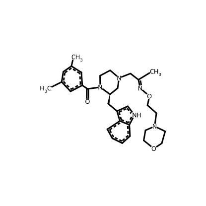 CC(CN1CCN(C(=O)c2cc(C)cc(C)c2)[C@H](Cc2c[nH]c3ccccc23)C1)=NOCCN1CCOCC1